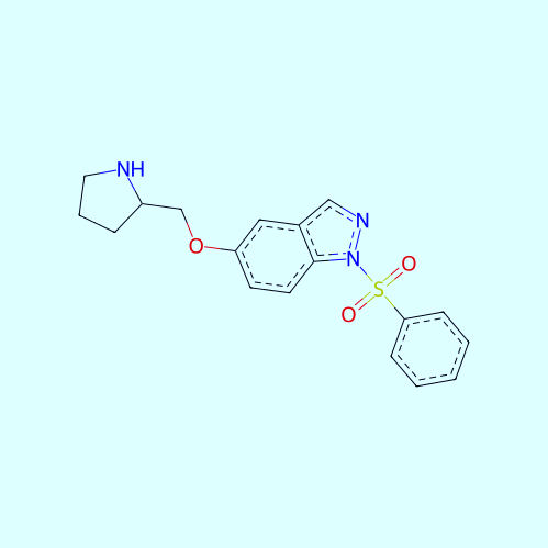 O=S(=O)(c1ccccc1)n1ncc2cc(OCC3CCCN3)ccc21